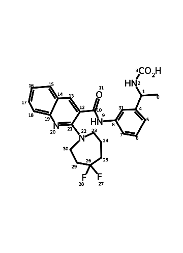 CC(NC(=O)O)c1cccc(NC(=O)c2cc3ccccc3nc2N2CCCC(F)(F)CC2)c1